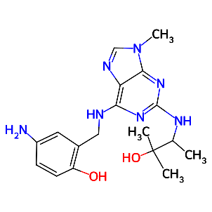 CC(Nc1nc(NCc2cc(N)ccc2O)c2ncn(C)c2n1)C(C)(C)O